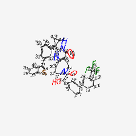 O=C(C(O)c1cccc(-c2cccc(C(F)(F)F)c2)c1)N1CCCc2nc(C3(c4cccc(-c5csc6ccccc56)c4)CC3)[nH]c(=O)c2C1